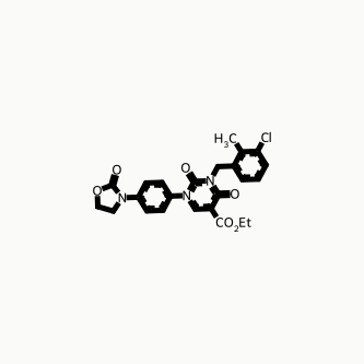 CCOC(=O)c1cn(-c2ccc(N3CCOC3=O)cc2)c(=O)n(Cc2cccc(Cl)c2C)c1=O